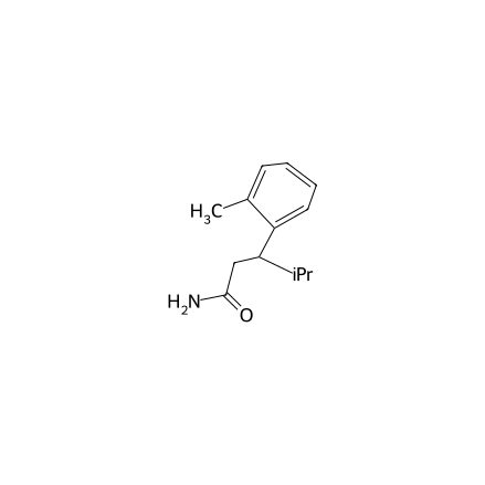 Cc1ccccc1C(CC(N)=O)C(C)C